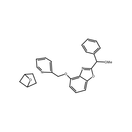 C1CC2CC1O2.COC(c1ccccc1)c1nc2c(OCc3ccccn3)cccc2o1